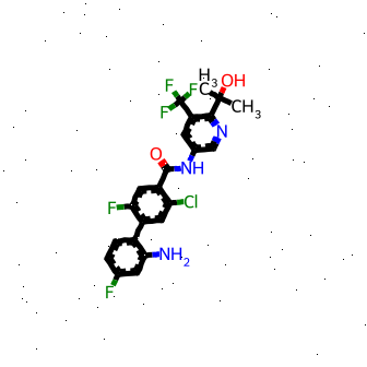 CC(C)(O)c1ncc(NC(=O)c2cc(F)c(-c3ccc(F)cc3N)cc2Cl)cc1C(F)(F)F